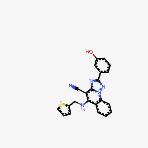 N#Cc1c(NCc2cccs2)c2ccccc2n2nc(-c3cccc(O)c3)nc12